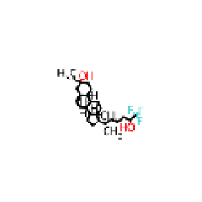 CC[C@]1(O)CC[C@H]2C(=CC[C@@H]3[C@@H]2CC[C@]2(C)[C@@H]([C@H](C)CCC[C@@H](O)C(F)(F)F)CC[C@@H]32)C1